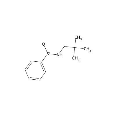 CC(C)(C)CN[S+]([O-])c1ccccc1